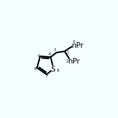 CCCC(CCC)Cc1cccs1